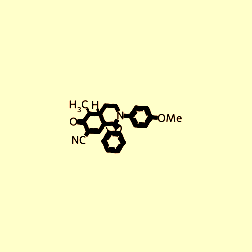 COc1ccc(N2CC[C@H]3[C@H](C)C(=O)C(C#N)=C[C@]3(c3ccccc3)C2=O)cc1